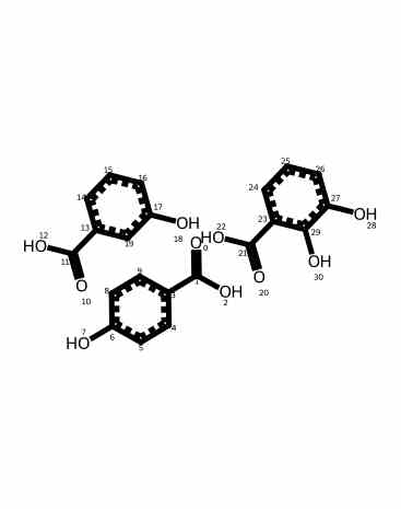 O=C(O)c1ccc(O)cc1.O=C(O)c1cccc(O)c1.O=C(O)c1cccc(O)c1O